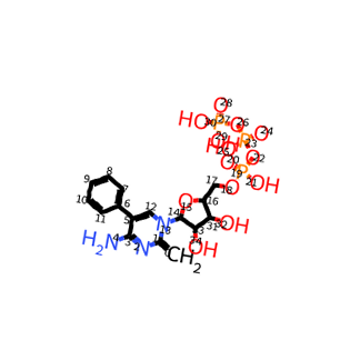 C=C1N=C(N)C(c2ccccc2)=CN1C1OC(COP(=O)(O)OP(=O)(O)OP(=O)(O)O)C(O)C1O